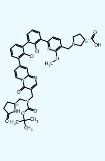 COc1nc(-c2cccc(-c3cccc(-c4ccn5c(=O)c(CN(C[C@@H]6CCC(=O)N6)C(=O)OC(C)(C)C)cnc5c4)c3Cl)c2Cl)ccc1CN1CC[C@H](C(=O)O)C1